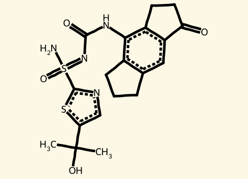 CC(C)(O)c1cnc(S(N)(=O)=NC(=O)Nc2c3c(cc4c2CCC4=O)CCC3)s1